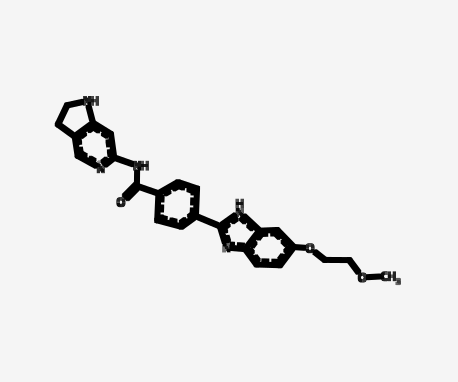 COCCOc1ccc2nc(-c3ccc(C(=O)Nc4cc5c(cn4)CCN5)cc3)[nH]c2c1